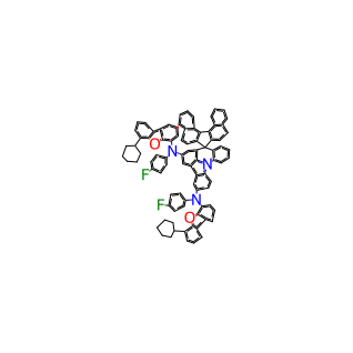 Fc1ccc(N(c2ccc3c(c2)c2cc(N(c4ccc(F)cc4)c4cccc5c4oc4c(C6CCCCC6)cccc45)cc4c2n3-c2ccccc2C42c3ccc4ccccc4c3-c3c2ccc2ccccc32)c2cccc3c2oc2c(C4CCCCC4)cccc23)cc1